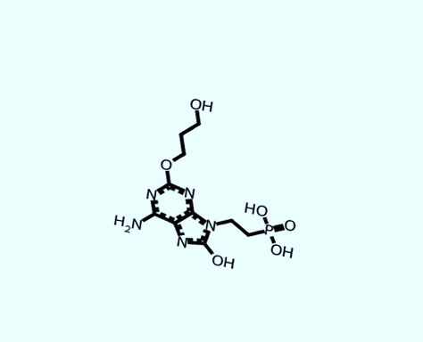 Nc1nc(OCCCO)nc2c1nc(O)n2CCP(=O)(O)O